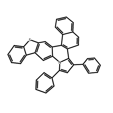 c1ccc(-c2cc(-c3ccccc3)n3c4cc5c(cc4c4c6ccccc6ccc4c23)sc2ccccc25)cc1